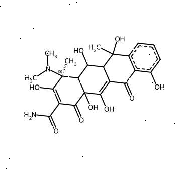 CN(C)[C@]1(C)C(O)=C(C(N)=O)C(=O)C2(O)C(O)=C3C(=O)c4c(O)cccc4C(C)(O)C3C(O)C21